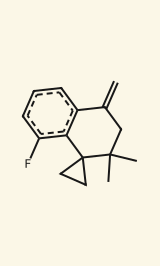 C=C1CC(C)(C)C2(CC2)c2c(F)cccc21